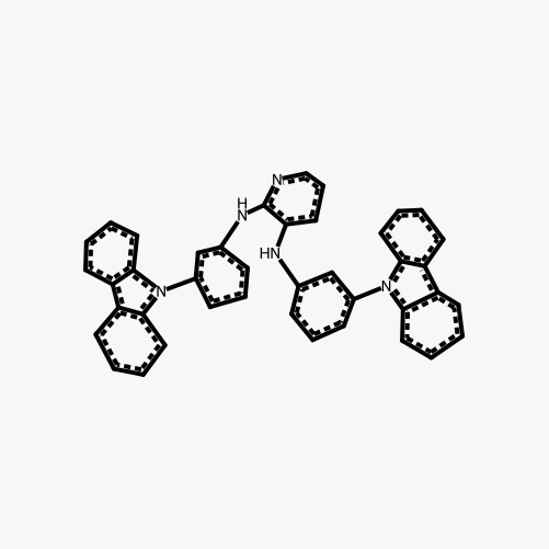 c1cc(Nc2cccnc2Nc2cccc(-n3c4ccccc4c4ccccc43)c2)cc(-n2c3ccccc3c3ccccc32)c1